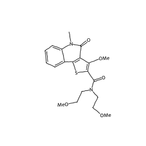 COCCN(CCOC)C(=O)c1sc2c(c1OC)c(=O)n(C)c1ccccc21